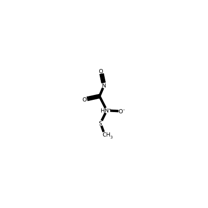 CS[NH+]([O-])C(=O)N=O